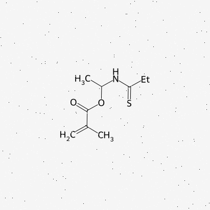 C=C(C)C(=O)OC(C)NC(=S)CC